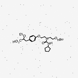 CCCCOCCN(CCOc1ccc(CC(OCC)C(=O)O)cc1)C(=O)NC1CCCC1